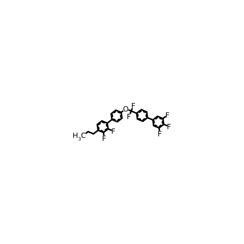 CCCc1ccc(-c2ccc(OC(F)(F)c3ccc(-c4cc(F)c(F)c(F)c4)cc3)cc2)c(F)c1F